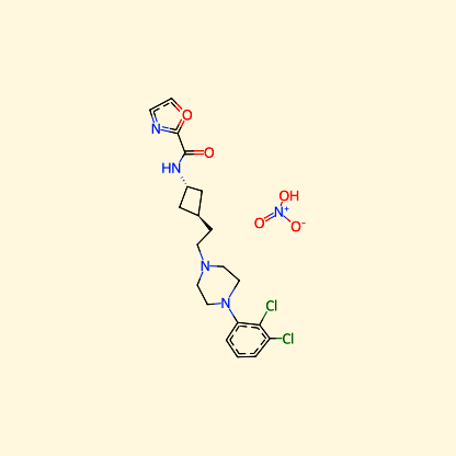 O=C(N[C@H]1C[C@H](CCN2CCN(c3cccc(Cl)c3Cl)CC2)C1)c1ncco1.O=[N+]([O-])O